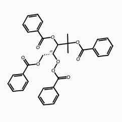 CC(C)(OC(=O)c1ccccc1)C(OC(=O)c1ccccc1)[C@@H](COC(=O)c1ccccc1)OOC(=O)c1ccccc1